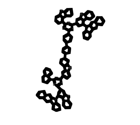 c1ccc2cc3c(cc2c1)c1ccccc1n3-c1cc(-c2nc(-c3ccc4oc5cc(-c6ccc(-c7ccc(-c8nc(-c9cc(-n%10c%11ccccc%11c%11cc%12ccccc%12cc%11%10)c%10c(c9)oc9ccccc9%10)nc(-c9cccc%10oc%11ccccc%11c9%10)n8)cc7)cc6)ccc5c4c3)nc(-c3cccc4ccccc34)n2)cc2oc3ccccc3c12